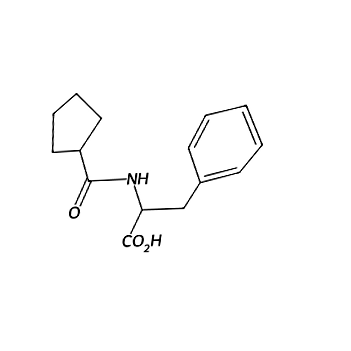 O=C(NC(Cc1ccccc1)C(=O)O)C1CCCC1